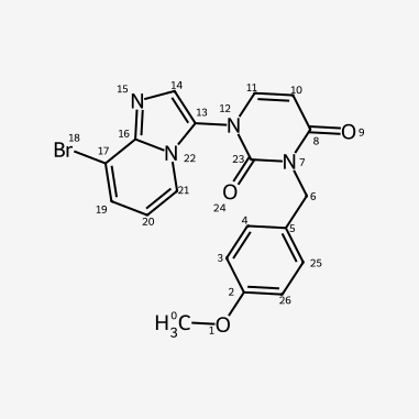 COc1ccc(Cn2c(=O)ccn(-c3cnc4c(Br)cccn34)c2=O)cc1